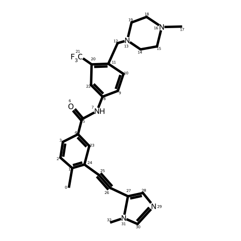 Cc1ccc(C(=O)Nc2ccc(CN3CCN(C)CC3)c(C(F)(F)F)c2)cc1C#Cc1cncn1C